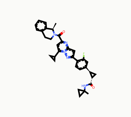 C[C@@H]1c2ccccc2CCN1C(=O)c1cc(C2CC2)n2nc(-c3ccc([C@H]4C[C@@H]4C(=O)NC4(C)CC4)cc3F)cc2n1